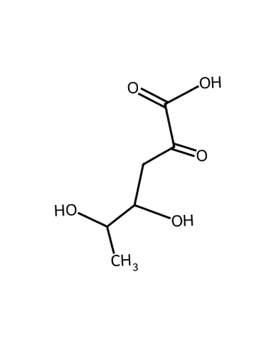 CC(O)C(O)CC(=O)C(=O)O